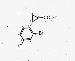 CCOC(=O)[C@@H]1C[C@H]1c1ccc(F)cc1Br